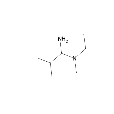 CCN(C)C(N)C(C)C